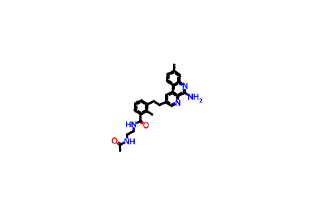 CC(=O)NCCNC(=O)c1cccc(CCc2cnc3c(N)nc4cc(C)ccc4c3c2)c1C